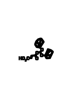 O=C(O)C=CC(=O)OC(OC1C2CC3CC(C2)CC1C3)OC1C2CC3CC(C2)CC1C3